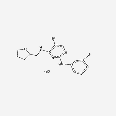 Cl.Fc1cccc(Nc2ncc(Br)c(NCC3CCCO3)n2)c1